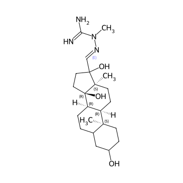 CN(/N=C/C1(O)CC[C@@]2(O)[C@@H]3CCC4CC(O)CC[C@]4(C)[C@@H]3CC[C@]12C)C(=N)N